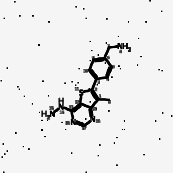 Cc1c(-c2ccc(CN)cc2)sc2c(NN)ncnc12